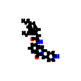 CC12CC3CC(C)(C1)CC(CC(=O)Nc1cccc4c(=O)n(CC5CCNCC5)ccc14)(C3)C2